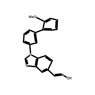 COc1ccccc1-c1cccc(-n2cnc3cc(/C=N/O)ccc32)c1